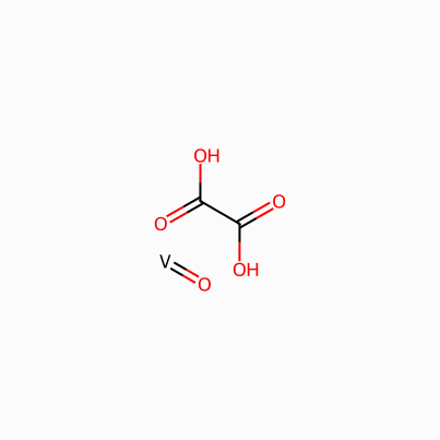 O=C(O)C(=O)O.[O]=[V]